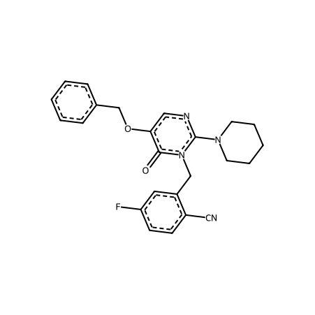 N#Cc1ccc(F)cc1Cn1c(N2CCCCC2)ncc(OCc2ccccc2)c1=O